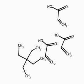 C=CC(=O)O.C=CC(=O)O.C=CC(=O)O.CCC(CC)(CC)CC